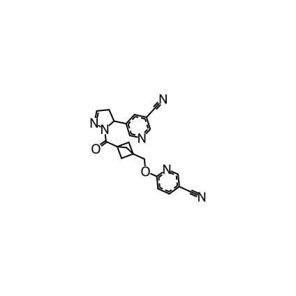 N#Cc1ccc(OCC23CC(C(=O)N4N=CCC4c4cncc(C#N)c4)(C2)C3)nc1